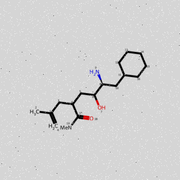 C=C(C)CC(CC(O)[C@@H](N)CC1CCCCC1)C(=O)NC